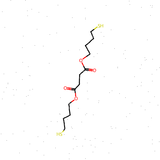 O=C(CCC(=O)OCCCCS)OCCCCS